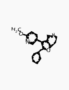 COc1ccc(-c2c(-c3ccccc3)oc3ccncc23)cn1